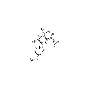 CC(=O)CN1CCN(c2cc3c(cc2F)c(=O)ccn3C2CC2)CC1